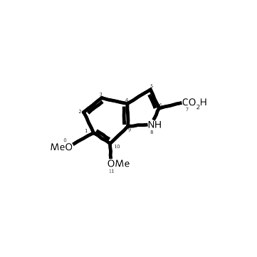 COc1ccc2cc(C(=O)O)[nH]c2c1OC